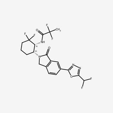 CC(F)(F)C(=O)N[C@@H]1[C@H](N2Cc3ccc(-c4nnc(C(F)F)o4)cc3C2=O)CCCC1(F)F